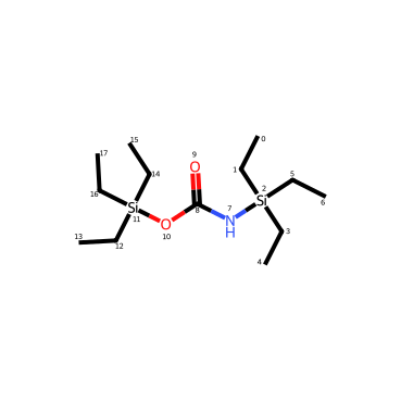 CC[Si](CC)(CC)NC(=O)O[Si](CC)(CC)CC